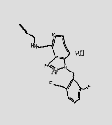 CCCNc1nccc2c1nnn2Cc1c(F)cccc1F.Cl